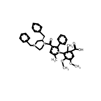 COc1cc(C(=O)O)c(C)c(-n2c(C)cc(C(=O)N3CCN(Cc4ccccc4)C[C@H]3Cc3ccccc3)c2-c2ccccc2)c1OC